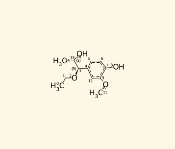 CCO[C@H](c1ccc(O)c(OC)c1)[C@H](C)O